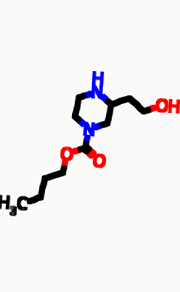 CCCCOC(=O)N1CCNC(CCO)C1